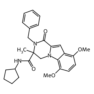 COc1ccc(OC)c2c1cc1n2CC(C)(C(=O)NC2CCCC2)N(Cc2ccccc2)C1=O